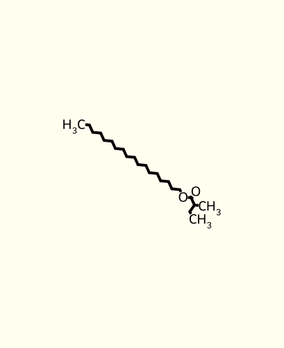 CCCCCCCCCCCCCCCCCCOC(=O)C(C)CC